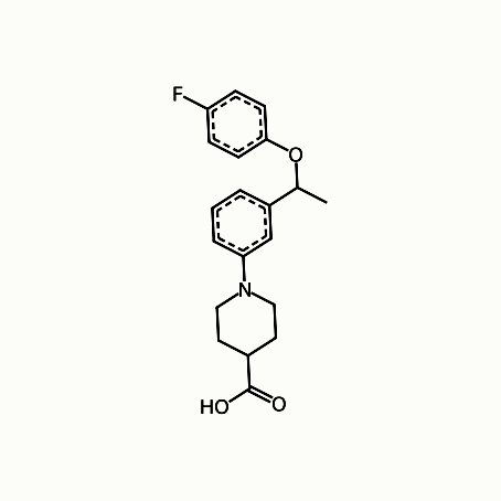 CC(Oc1ccc(F)cc1)c1cccc(N2CCC(C(=O)O)CC2)c1